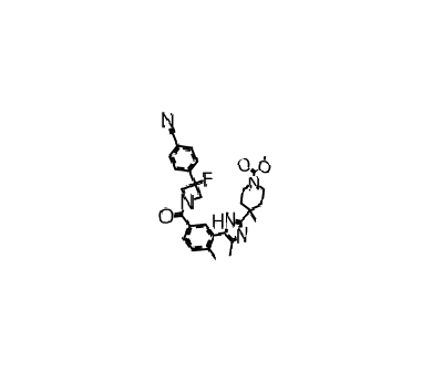 COC(=O)N1CCC(C)(c2nc(C)c(-c3cc(C(=O)N4CC(F)(c5ccc(C#N)cc5)C4)ccc3C)[nH]2)CC1